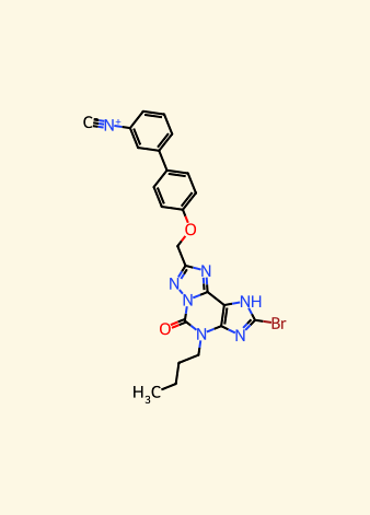 [C-]#[N+]c1cccc(-c2ccc(OCc3nc4c5[nH]c(Br)nc5n(CCCC)c(=O)n4n3)cc2)c1